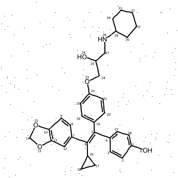 Oc1ccc(C(=C(c2ccc3c(c2)OCO3)C2CC2)c2ccc(OCC(O)CNC3CCCCC3)cc2)cc1